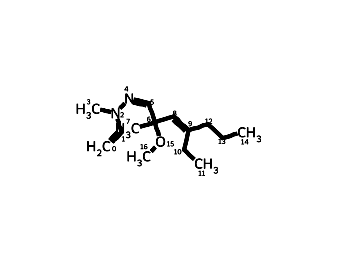 C=CN(C)/N=C\C(C)(/C=C(\CC)CCC)OC